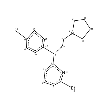 CCc1cccc([C@@H](CCN2CCCC2)c2ccc(C)cc2)n1